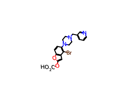 O=C(O)Oc1cc2c(Br)c(N3CCN(Cc4cccnc4)CC3)ccc2o1